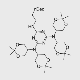 CCCCCCCCCCCCNc1nc(N(C2COC(C)(C)OC2)C2COC(C)(C)OC2)nc(N(C2COC(C)(C)OC2)C2COC(C)(C)OC2)n1